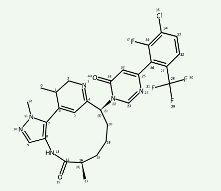 CC1CN=C2C=C1c1c(cnn1C)NC(=O)[C@H](C)CCC[C@@H]2n1cnc(-c2c(C(F)(F)F)ccc(Cl)c2F)cc1=O